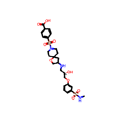 CNS(=O)(=O)c1cccc(OC[C@@H](O)CNC2COC3(CCN(S(=O)(=O)c4ccc(C(=O)O)cc4)CC3)C2)c1